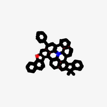 CC1(C)c2ccccc2-c2c(C3C=CC=CC3N(C3=C(C4=CC=CC5Oc6c(ccc7ccccc67)C45)CCC=C3)C3=C(c4ccccc4)C=C(c4ccccc4)CC3)cccc21